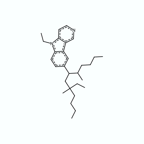 CCCCC(C)C(CC(C)(CC)CCCC)c1ccc2c(c1)c1cnccc1n2CC